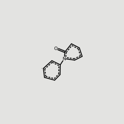 O=c1ccccn1-c1c[c]ccc1